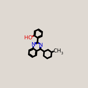 CC1CCCC(c2nc(-c3ccccc3O)nc3ccccc23)C1